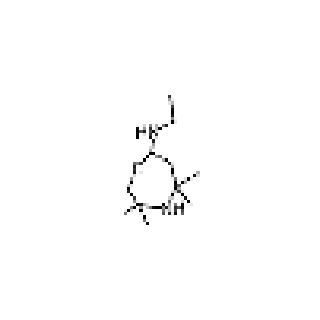 CCNC1CCC(C)(C)NC(C)(C)C1